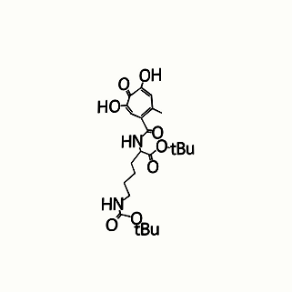 Cc1cc(O)c(=O)c(O)cc1C(=O)NC(CCCCNC(=O)OC(C)(C)C)C(=O)OC(C)(C)C